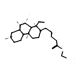 CC[C@@H]1C2C[C@H](O)CC[C@]2(C)[C@H]2CC[C@]3(C)[C@@H]([C@H](C)CCC(=O)NCC(=O)O)CC[C@H]3[C@@H]2[C@@H]1O